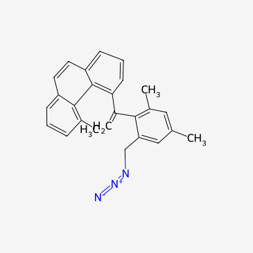 C=C(c1c(C)cc(C)cc1CN=[N+]=[N-])c1cccc2ccc3cccc(C)c3c12